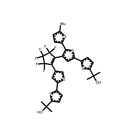 CC(C)(C)c1ccc(-c2sc(-c3ccc(C(C)(C)O)s3)cc2C2=C(c3csc(-c4ccc(C(C)(C)O)s4)c3)C(F)(F)C(F)(F)C2(F)F)s1